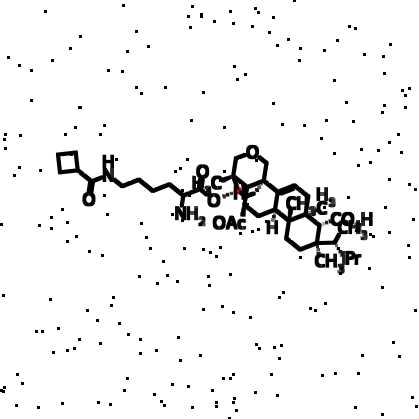 CC(=O)O[C@@H]1C[C@@]23COC[C@](C)([C@@H]2CC[C@H]2C3=CC[C@@]3(C)[C@H](C(=O)O)[C@@](C)([C@H](C)C(C)C)CC[C@]23C)[C@H]1OC(=O)C(N)CCCCNC(=O)C1CCC1